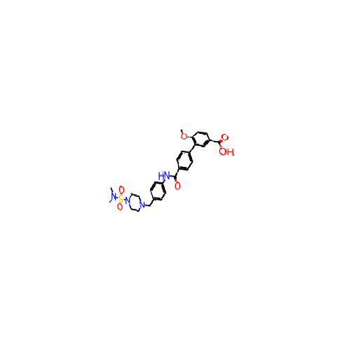 COc1ccc(C(=O)O)cc1-c1ccc(C(=O)Nc2ccc(CN3CCN(S(=O)(=O)N(C)C)CC3)cc2)cc1